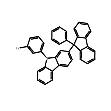 Brc1cccc(-n2c3ccccc3c3ccc(C4(c5ccccc5)c5ccccc5-c5ccccc54)cc32)c1